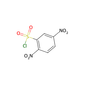 O=[N+]([O-])c1ccc([N+](=O)[O-])c(S(=O)(=O)Cl)c1